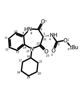 CC(C)(C)OC(=O)N[C@H]1C(=O)Nc2ccccc2N(C2CCCCC2)C1=O